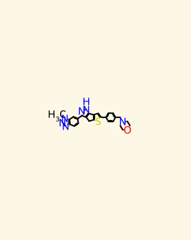 Cn1nnc2ccc(-c3n[nH]c4c3Cc3sc(-c5ccc(CN6CCOCC6)cc5)cc3-4)cc21